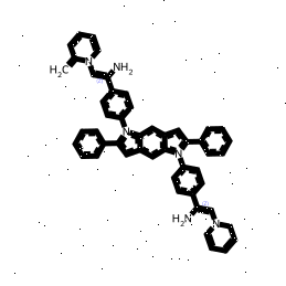 C=C1C=CC=CN1/C=C(\N)c1ccc(-n2c(-c3ccccc3)cc3cc4c(cc(-c5ccccc5)n4-c4ccc(/C(N)=C/N5C=CC=CC5)cc4)cc32)cc1